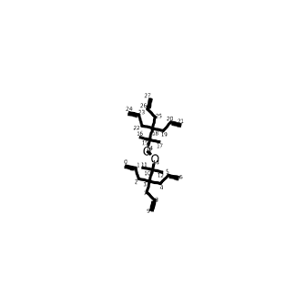 C=CCC(CC=C)(CC=C)C(C)(C)OOC(C)(C)C(CC=C)(CC=C)CC=C